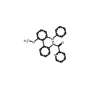 COc1cccc([Se]c2ccccc2)c1-c1ccccc1NC(=O)c1ccccn1